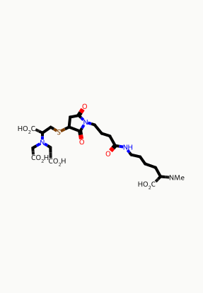 CNC(CCCCNC(=O)CCCN1C(=O)CC(SCC(C(=O)O)N(CC(=O)O)CC(=O)O)C1=O)C(=O)O